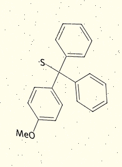 COc1ccc(C([S])(c2ccccc2)c2ccccc2)cc1